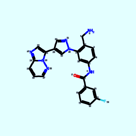 NCc1ccc(NC(=O)c2cccc(F)c2)cc1-n1cc(-c2cnc3cccnn23)cn1